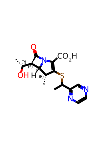 CC(SC1=C(C(=O)O)N2C(=O)[C@H]([C@@H](C)O)[C@@H]2[C@H]1C)c1cnccn1